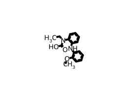 CCN(C(=O)O)c1ccccc1Nc1ccccc1OC